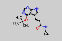 CC(C)(C)Oc1ncnc2[nH]cc(C=CC(=O)NC3CC3)c12